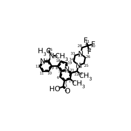 Cc1c(C(=O)O)cc2c(-c3cccnc3N(C)C)ccn2c1C(C)N1CCN(CC(F)(F)F)CC1